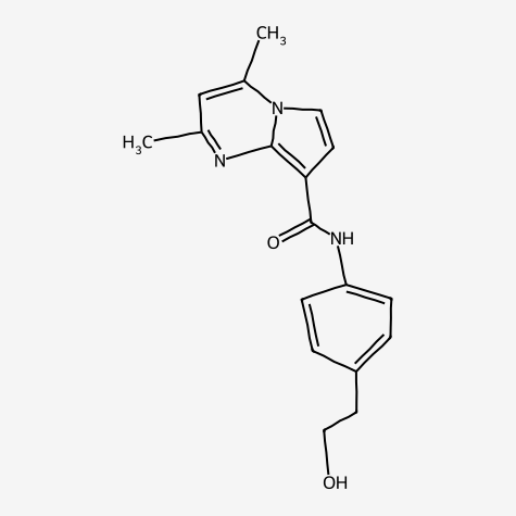 Cc1cc(C)n2ccc(C(=O)Nc3ccc(CCO)cc3)c2n1